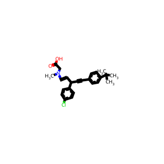 CN(/C=C/C(C#Cc1ccc(C(C)(C)C)cc1)c1ccc(Cl)cc1)CC(=O)O